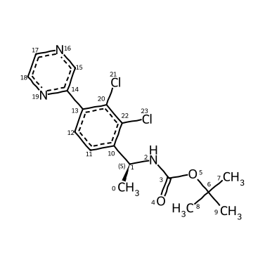 C[C@H](NC(=O)OC(C)(C)C)c1ccc(-c2cnccn2)c(Cl)c1Cl